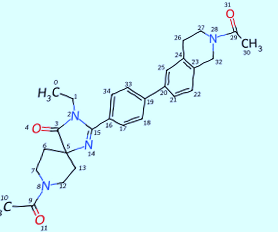 CCN1C(=O)C2(CCN(C(C)=O)CC2)N=C1c1ccc(-c2ccc3c(c2)CCN(C(C)=O)C3)cc1